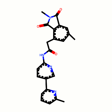 Cc1cc(CC(=O)Nc2ccc(-c3cccc(C)n3)cn2)c2c(c1)C(=O)N(C)C2=O